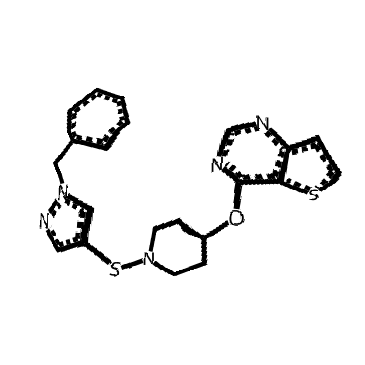 c1ccc(Cn2cc(SN3CCC(Oc4ncnc5ccsc45)CC3)cn2)cc1